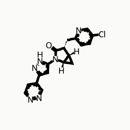 O=C1[C@H](Cc2ccc(Cl)cn2)[C@@H]2C[C@@H]2N1c1cc(-c2ccnnc2)n[nH]1